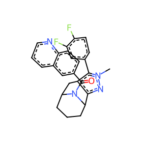 Cn1nc2c(c1-c1ccc(F)c(F)c1)CC1CCCC2N1C(=O)c1ccc2ncccc2c1